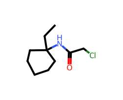 CCC1(NC(=O)CCl)CCCCC1